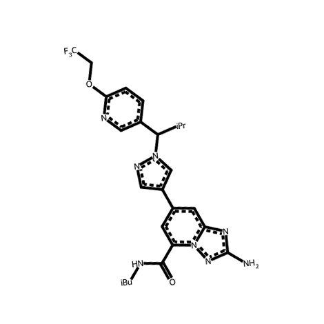 CCC(C)NC(=O)c1cc(-c2cnn(C(c3ccc(OCC(F)(F)F)nc3)C(C)C)c2)cc2nc(N)nn12